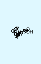 O=C(O)c1ccc(-c2cnc(N3CC4(CC4)c4ccc(C(=O)N5CCOCC5)cc43)nc2)s1